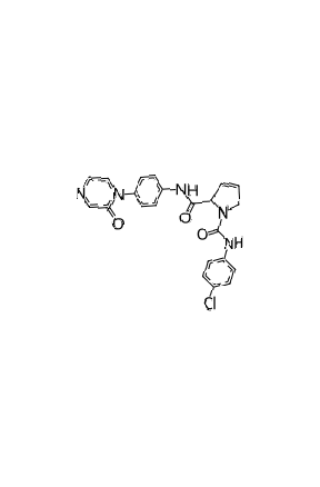 O=C(Nc1ccc(-n2ccncc2=O)cc1)C1C=CCN1C(=O)Nc1ccc(Cl)cc1